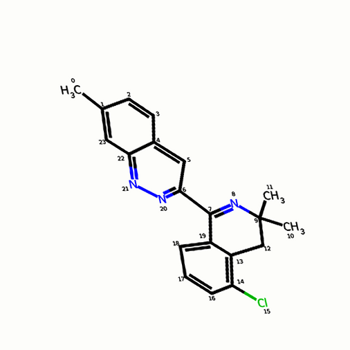 Cc1ccc2cc(C3=NC(C)(C)Cc4c(Cl)cccc43)nnc2c1